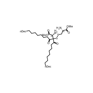 CCCCCCCCCCCCCCCCCC(=O)C(SSC[C@H](N)C(=O)OC)(C(=O)CCCCCCCCCCCCCCCCC)[C@H](N)C(=O)OC